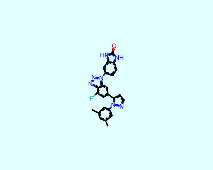 Cc1cc(C)cc(-n2nccc2-c2cc(F)c3nnn(-c4ccc5[nH]c(=O)[nH]c5c4)c3c2)c1